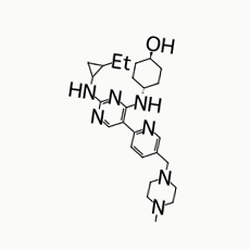 CCC1CC1Nc1ncc(-c2ccc(CN3CCN(C)CC3)cn2)c(N[C@H]2CC[C@H](O)CC2)n1